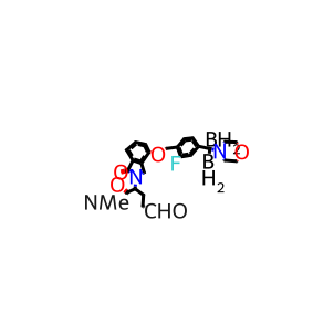 BC(B)(c1ccc(COc2cccc3c2CN(C(CCC=O)C(=O)NC)C3=O)c(F)c1)N1CCOCC1